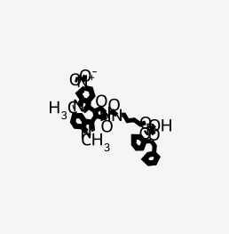 Cn1cc(C2=C(c3cn(C)c4cc([N+](=O)[O-])ccc34)C(=O)N(C(=O)NCCCCOP(=O)(O)OC(Cc3ccccc3)c3ccccc3)C2=O)c2ccccc21